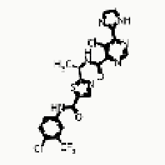 C[C@@H](NC(=O)c1ncnc(-c2ncc[nH]2)c1Cl)c1ncc(C(=O)Nc2ccc(Cl)c(C(F)(F)F)c2)s1